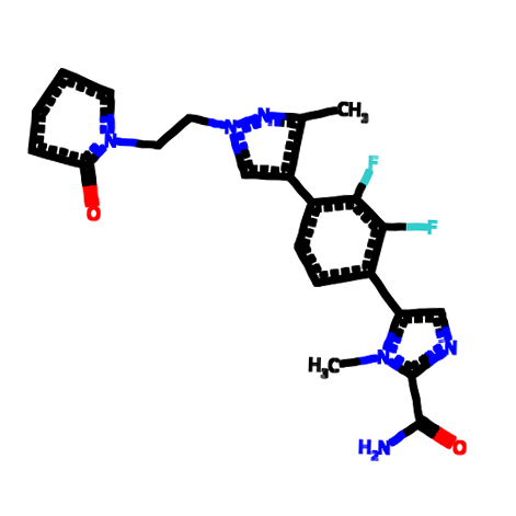 Cc1nn(CCn2ccccc2=O)cc1-c1ccc(-c2cnc(C(N)=O)n2C)c(F)c1F